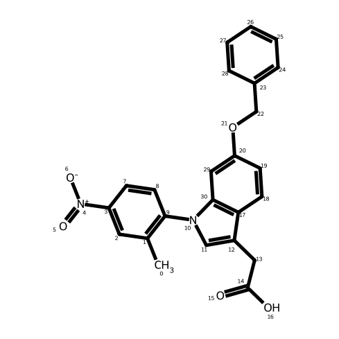 Cc1cc([N+](=O)[O-])ccc1-n1cc(CC(=O)O)c2ccc(OCc3ccccc3)cc21